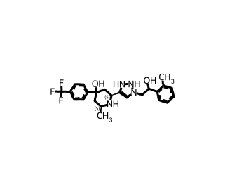 Cc1ccccc1C(O)CN1C=C([C@@H]2CC(O)(c3ccc(C(F)(F)F)cc3)C[C@H](C)N2)NN1